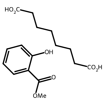 COC(=O)c1ccccc1O.O=C(O)CCCCCCC(=O)O